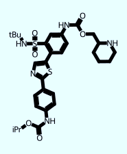 CC(C)OC(=O)Nc1ccc(-c2ncc(-c3ccc(NC(=O)OCC4CCCCN4)cc3S(=O)(=O)NC(C)(C)C)s2)cc1